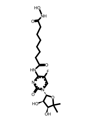 CC1(C)O[C@@H](n2cc(F)c(NC(=O)CCCCCCC(=O)NO)nc2=O)[C@H](O)[C@@H]1O